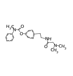 CN(C)CC(=O)NCCc1ccc(OC(=O)N(C)c2ccccc2)cc1